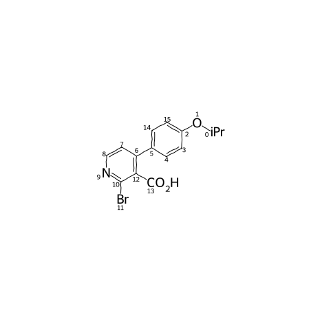 CC(C)Oc1ccc(-c2ccnc(Br)c2C(=O)O)cc1